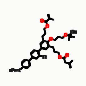 C=C(C)CC(=O)OCCCc1cc(-c2ccc(-c3ccc(CCCCC)cc3)cc2CC)cc(CCCOC(=O)C(=C)C)c1OCCCO[Si](C)(C)C(C)(C)C